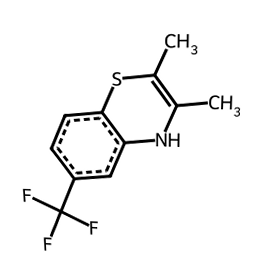 CC1=C(C)Sc2ccc(C(F)(F)F)cc2N1